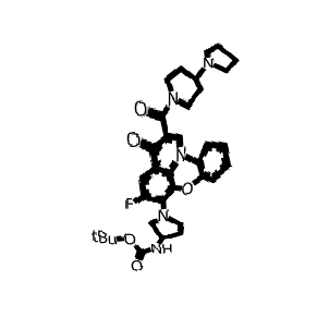 CC(C)(C)OC(=O)NC1CCN(c2c(F)cc3c(=O)c(C(=O)N4CCC(N5CCCC5)CC4)cn4c3c2Oc2ccccc2-4)C1